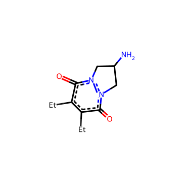 CCc1c(CC)c(=O)n2n(c1=O)CC(N)C2